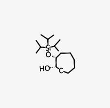 CC(C)[Si](O[C@@H]1CCCCCC[C@@H]1O)(C(C)C)C(C)C